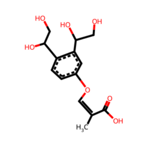 CC(=COc1ccc(C(O)CO)c(C(O)CO)c1)C(=O)O